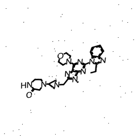 CCc1nc2ccccc2n1-c1nc(N2CCOCC2)c2nc(CN3CC(N4CCNC(=O)C4)C3)n(C)c2n1